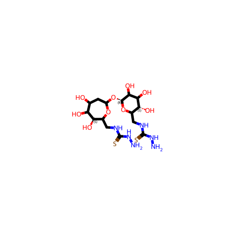 NNC(=S)NCC1OC(O[C@H]2OC(CNC(=S)NN)[C@@H](O)C(O)C2O)CC(O)C(O)[C@@H]1O